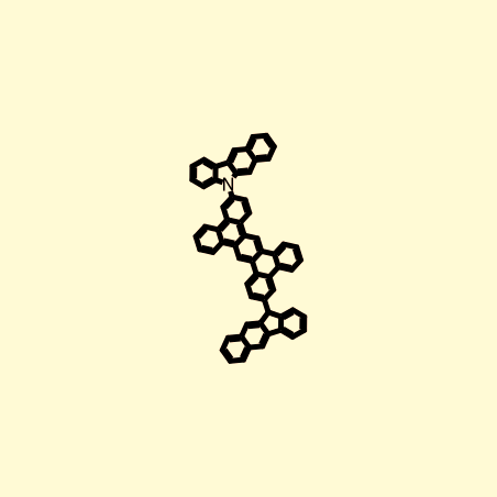 c1ccc2c(c1)-c1cc3ccccc3cc1C2c1ccc2c(c1)c1ccccc1c1cc3c4ccc(-n5c6ccccc6c6cc7ccccc7cc65)cc4c4ccccc4c3cc21